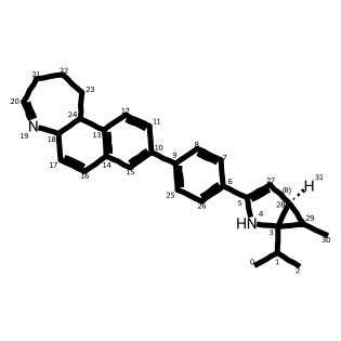 CC(C)C12NC(c3ccc(-c4ccc5c(c4)C=CC4N=CCCCC54)cc3)=C[C@H]1C2C